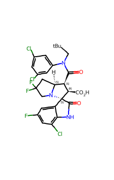 CC(C)(C)CN(C(=O)[C@H]1[C@@H](C(=O)O)[C@]2(C(=O)Nc3c(Cl)cc(F)cc32)N2CC(F)(F)C[C@@H]12)c1cc(Cl)cc(Cl)c1